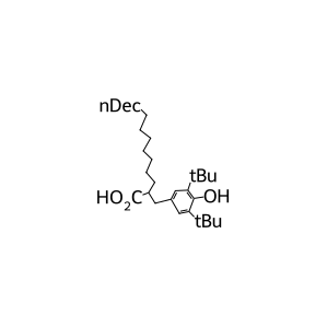 CCCCCCCCCCCCCCCCCC(Cc1cc(C(C)(C)C)c(O)c(C(C)(C)C)c1)C(=O)O